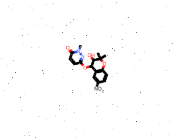 Cn1nc(OC2c3cc([N+](=O)[O-])ccc3OC(C)(C)C2O)ccc1=O